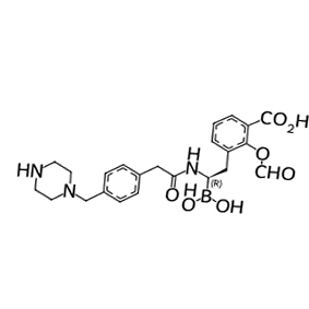 O=COc1c(C[C@H](NC(=O)Cc2ccc(CN3CCNCC3)cc2)B(O)O)cccc1C(=O)O